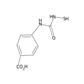 O=C(NS)Nc1ccc(C(=O)O)cc1